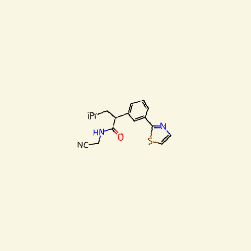 CC(C)CC(C(=O)NCC#N)c1cccc(-c2nccs2)c1